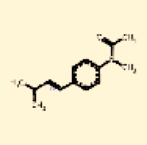 CC(=O)N(C)c1ccc(/C=C/C(C)C)cc1